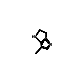 Cc1cnn2c1NCC2